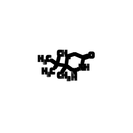 CC(C)(C)C1(C)CCC(=O)NN1